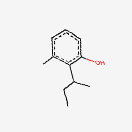 CCC(C)c1c(C)cccc1O